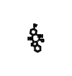 O=C1Nc2cc(Br)ccc2Nc2sc3ccccc3c21